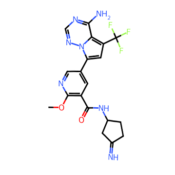 COc1ncc(-c2cc(C(F)(F)F)c3c(N)ncnn23)cc1C(=O)NC1CCC(=N)C1